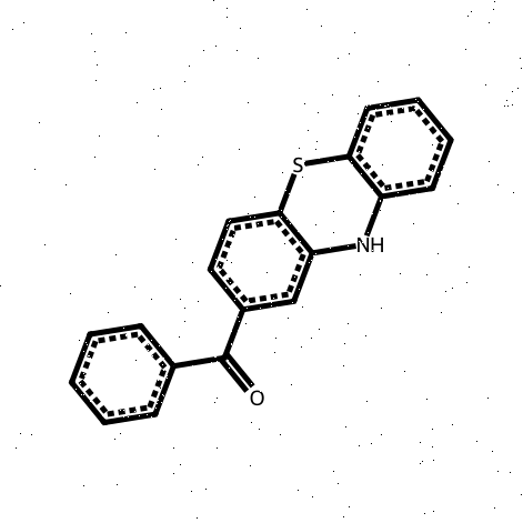 O=C(c1ccccc1)c1ccc2c(c1)Nc1ccccc1S2